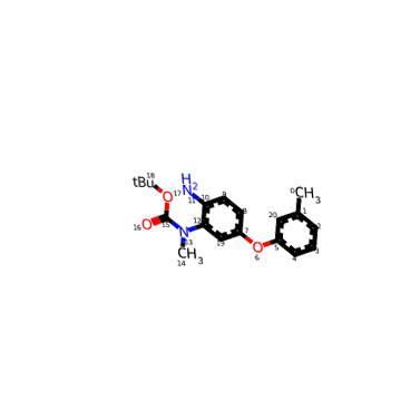 Cc1cccc(Oc2ccc(N)c(N(C)C(=O)OC(C)(C)C)c2)c1